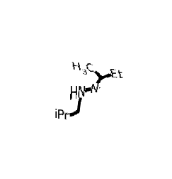 CCC(C)[N]NCC(C)C